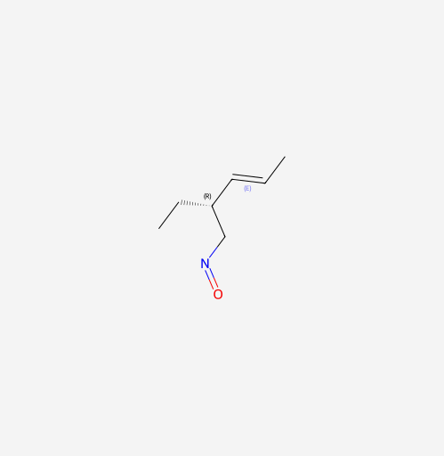 C/C=C/[C@@H](CC)CN=O